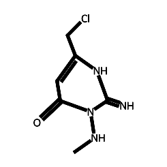 CNn1c(=O)cc(CCl)[nH]c1=N